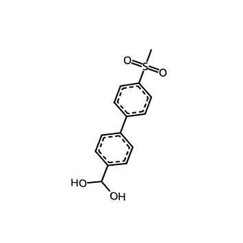 CS(=O)(=O)c1ccc(-c2ccc(C(O)O)cc2)cc1